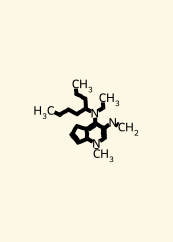 C=NC1=CN(C)C2C=CCC2=C1N(CC)C(CCC)CCCC